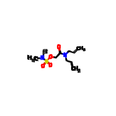 C=CCN(CC=C)C(=O)COS(=O)(=O)N(C)CC